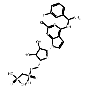 CC(Nc1nc(Cl)nc2c1ccn2[C@@H]1O[C@H](COP(=O)(O)CP(=O)(O)O)[C@@H](O)[C@H]1O)c1cccc(F)c1